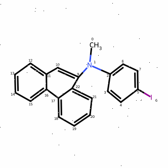 CN(c1ccc(I)cc1)c1cc2ccccc2c2ccccc12